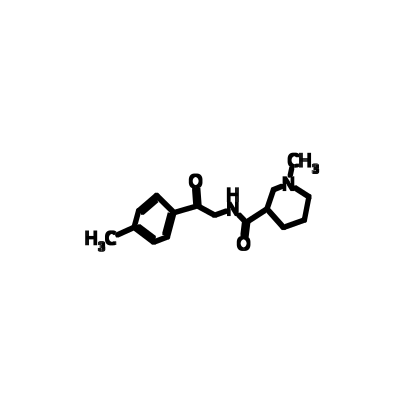 Cc1ccc(C(=O)CNC(=O)C2CCCN(C)C2)cc1